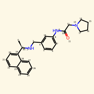 C[C@@H](NCc1cccc(NC(=O)CN2CCCC2)c1)c1cccc2ccccc12